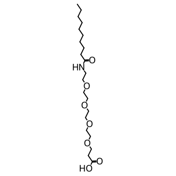 CCCCCCCCCC(=O)NCCOCCOCCOCCOCCC(=O)O